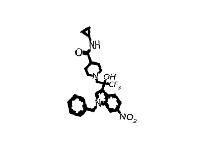 O=C(NC1CC1)C1CCN(CC(O)(c2cn(Cc3ccccc3)c3cc([N+](=O)[O-])ccc23)C(F)(F)F)CC1